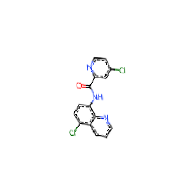 O=C(Nc1ccc(Cl)c2cccnc12)c1cc(Cl)ccn1